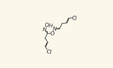 ON=C(CC=CCl)ON=CCC=CCl